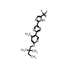 CCC(C)(C)COc1cc(C)c(-c2cnc(-c3ncc(C(F)(F)F)[nH]3)cn2)cn1